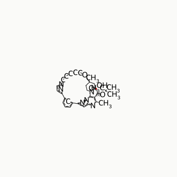 Cc1nc2cc3nn2c(c1[C@H](OC(C)(C)C)C(=O)O)N1CCC(C)(CC1)OCCCCCn1ccc(n1)-c1cccc-3c1